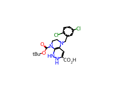 CC(C)(C)OC(=O)N1CCN(Cc2cc(Cl)ccc2Cl)C2=C1NNC(C(=O)O)=C2